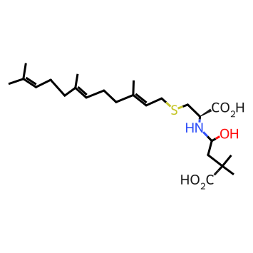 CC(C)=CCC/C(C)=C/CC/C(C)=C/CSC[C@H](NC(O)CC(C)(C)C(=O)O)C(=O)O